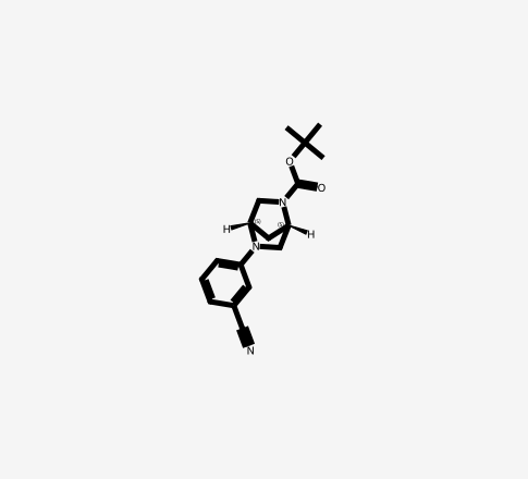 CC(C)(C)OC(=O)N1C[C@@H]2C[C@H]1CN2c1cccc(C#N)c1